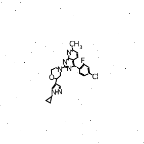 Cc1ccc2c(-c3ccc(Cl)cc3F)nc(N3CCOC(c4cnn(C5CC5)c4)C3)nc2n1